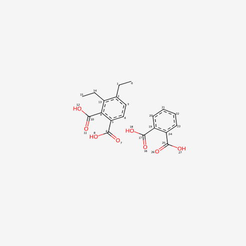 CCc1ccc(C(=O)O)c(C(=O)O)c1CC.O=C(O)c1ccccc1C(=O)O